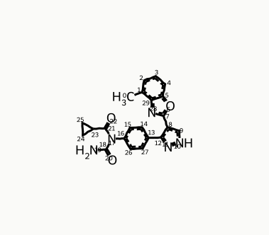 Cc1cccc2oc(-c3c[nH]nc3-c3ccc(N(C(N)=O)C(=O)C4CC4)cc3)nc12